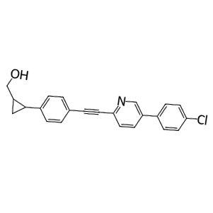 OCC1CC1c1ccc(C#Cc2ccc(-c3ccc(Cl)cc3)cn2)cc1